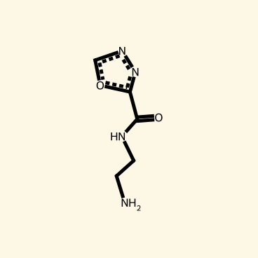 NCCNC(=O)c1nnco1